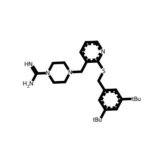 CC(C)(C)c1cc(CSc2ncccc2CN2CCN(C(=N)N)CC2)cc(C(C)(C)C)c1